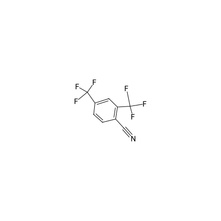 N#Cc1ccc(C(F)(F)F)cc1C(F)(F)F